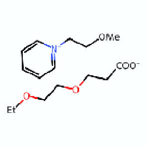 CCOCCOCCC(=O)[O-].COCC[n+]1ccccc1